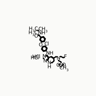 CC(C)(C)NC(=O)c1cccc(Oc2ccc(Nc3ncnc4c3C=C(CN(CCF)CCS(C)(=O)=O)CCN4)cc2Cl)c1.Cl.Cl